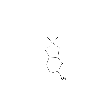 CC1(C)CC2CCC(O)CC2C1